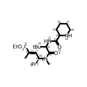 CCOC(=O)/C(C)=C/[C@H](C(C)C)N(C)C(=O)C(NC(=O)C1CCCCN1)C(C)(C)C